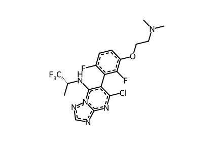 C[C@@H](Nc1c(-c2c(F)ccc(OCCN(C)C)c2F)c(Cl)nc2ncnn12)C(F)(F)F